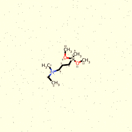 CCN(C)CCC[Si](C)(OC)OC